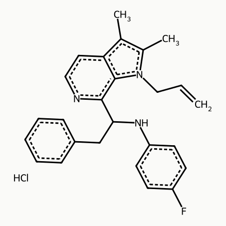 C=CCn1c(C)c(C)c2ccnc(C(Cc3ccccc3)Nc3ccc(F)cc3)c21.Cl